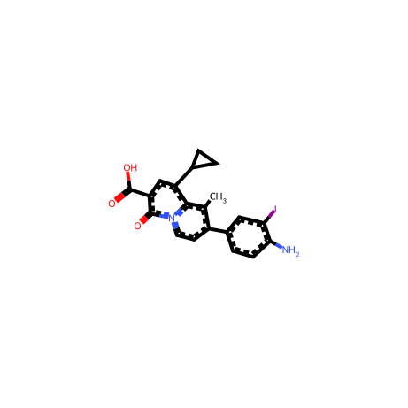 Cc1c(-c2ccc(N)c(I)c2)ccn2c(=O)c(C(=O)O)cc(C3CC3)c12